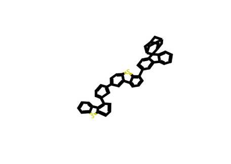 c1cc(-c2ccc3sc4c(-c5ccc6c(c5)-c5ccccc5C65C6CC7CC(C6)CC5C7)cccc4c3c2)cc(-c2cccc3sc4ccccc4c23)c1